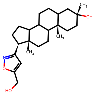 C[C@@]1(O)CC[C@@]2(C)C(CCC3C2CC[C@@]2(C)C3CC[C@@H]2c2cc(CO)on2)C1